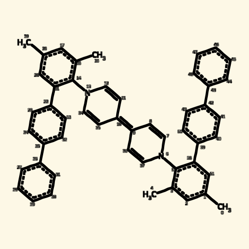 Cc1cc(C)c(N2C=CC(=C3C=CN(c4c(C)cc(C)cc4-c4ccc(-c5ccccc5)cc4)C=C3)C=C2)c(-c2ccc(-c3ccccc3)cc2)c1